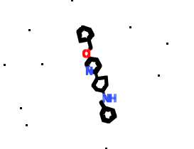 c1ccc(CN[C@H]2CC[C@H](c3ccc(OCc4ccccc4)cn3)CC2)cc1